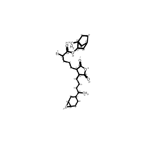 CCC(CCCC1C(=O)OC(=O)C1CCCC(C)C1CCC2OC2C1)C(=O)OC1CC2CCC1(C)C2